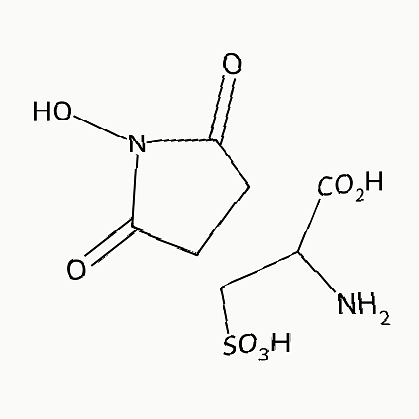 NC(CS(=O)(=O)O)C(=O)O.O=C1CCC(=O)N1O